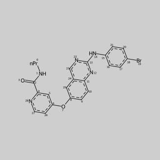 CCCNC(=O)c1cc(Oc2ccc3nc(Nc4ccc(Br)cc4)ncc3c2)ccn1